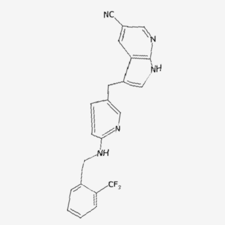 N#Cc1cnc2[nH]cc(Cc3ccc(NCc4ccccc4C(F)(F)F)nc3)c2c1